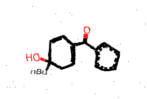 CCCCC1(O)C=CC(C(=O)c2ccccc2)=CC1